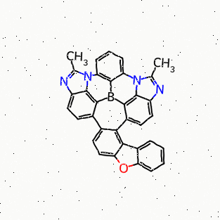 Cc1nc2ccc3c4c2n1-c1cccc2c1B4c1c(ccc4nc(C)n-2c14)-c1c-3ccc2oc3ccccc3c12